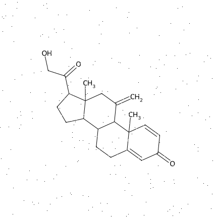 C=C1CC2(C)C(C(=O)CO)CCC2C2CCC3=CC(=O)C=CC3(C)C12